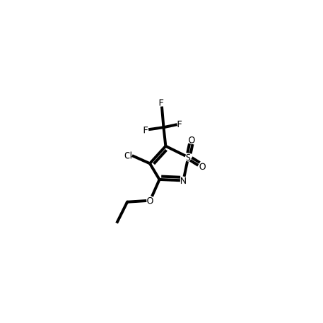 CCOC1=NS(=O)(=O)C(C(F)(F)F)=C1Cl